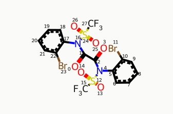 O=C(C(=O)N(c1ccccc1Br)S(=O)(=O)C(F)(F)F)N(c1ccccc1Br)S(=O)(=O)C(F)(F)F